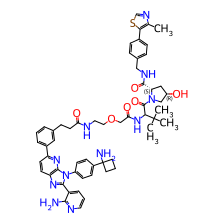 Cc1ncsc1-c1ccc(CNC(=O)[C@@H]2C[C@@H](O)CN2C(=O)C(NC(=O)COCCNC(=O)CCc2cccc(-c3ccc4nc(-c5cccnc5N)n(-c5ccc(C6(N)CCC6)cc5)c4n3)c2)C(C)(C)C)cc1